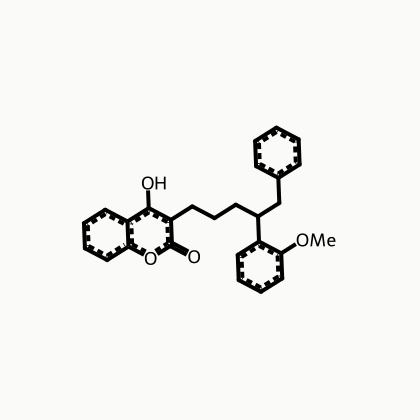 COc1ccccc1C(CCCc1c(O)c2ccccc2oc1=O)Cc1ccccc1